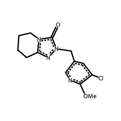 COc1ncc(Cn2nc3n(c2=O)CCCC3)cc1Cl